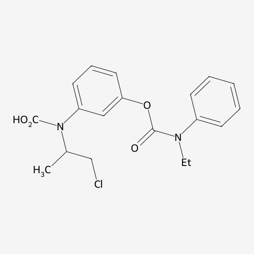 CCN(C(=O)Oc1cccc(N(C(=O)O)C(C)CCl)c1)c1ccccc1